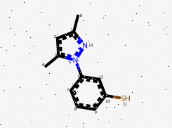 Cc1cc(C)n(-c2cccc(S)c2)n1